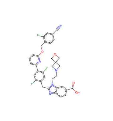 N#Cc1ccc(COc2cccc(-c3cc(F)c(Cc4nc5ccc(C(=O)O)cc5n4CCN4CC5(COC5)C4)cc3F)n2)c(F)c1